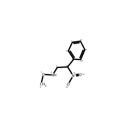 CONCC(c1ccccc1)[N+](=O)[O-]